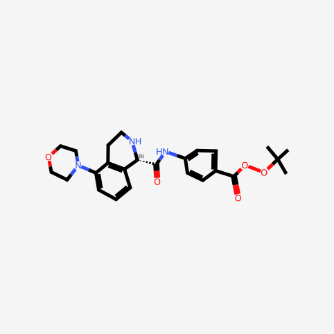 CC(C)(C)OOC(=O)c1ccc(NC(=O)[C@H]2NCCc3c2cccc3N2CCOCC2)cc1